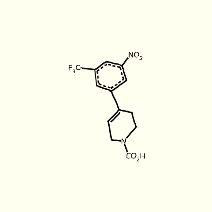 O=C(O)N1CC=C(c2cc([N+](=O)[O-])cc(C(F)(F)F)c2)CC1